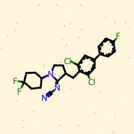 N#C/N=C1/C(Cc2c(Cl)cc(-c3ccc(F)cc3)cc2Cl)CCN1C1CCC(F)(F)CC1